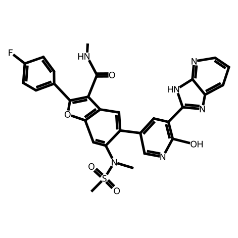 CNC(=O)c1c(-c2ccc(F)cc2)oc2cc(N(C)S(C)(=O)=O)c(-c3cnc(O)c(-c4nc5cccnc5[nH]4)c3)cc12